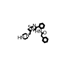 O=C(Cc1ccccc1)Nc1ccccc1-c1cn2c(CN3CCNCC3)csc2n1